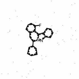 Fc1cccc2cc(-c3ccccc3)n3nc4ccccc4c3c12